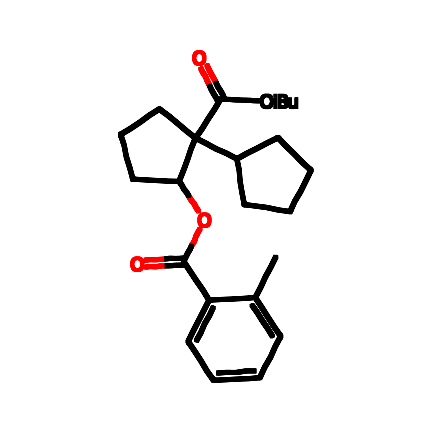 Cc1ccccc1C(=O)OC1CCCC1(C(=O)OCC(C)C)C1CCCC1